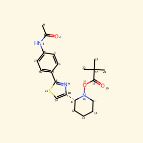 CC(=O)Nc1ccc(-c2nc([C@H]3CCCCN3OC(=O)C(C)(C)C)cs2)cc1